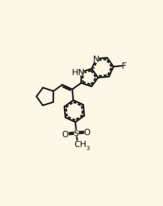 CS(=O)(=O)c1ccc(C(=CC2CCCC2)c2cc3cc(F)cnc3[nH]2)cc1